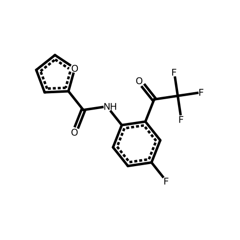 O=C(Nc1ccc(F)cc1C(=O)C(F)(F)F)c1ccco1